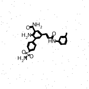 Cc1cccc(NC(=O)C=Cc2cc(C(N)=O)c(N)c(-c3ccc(S(N)(=O)=O)cc3)c2)c1